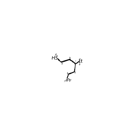 CCC(CCS)CCC(C)C